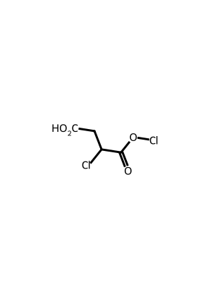 O=C(O)CC(Cl)C(=O)OCl